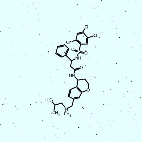 CC(C)CN(C)Cc1ccc2c(c1)OCCC2NC(=O)CC(NS(=O)(=O)c1cc(Cl)c(Cl)cc1Cl)c1ccccc1